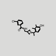 Cc1c(O)ccc(C(C)N2CC(CNC(=O)c3cccc(Cl)c3)C2)c1C